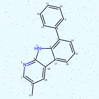 Cc1cnc2[nH]c3c(-c4ccccc4)cccc3c2c1